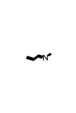 C=C/C=N/C